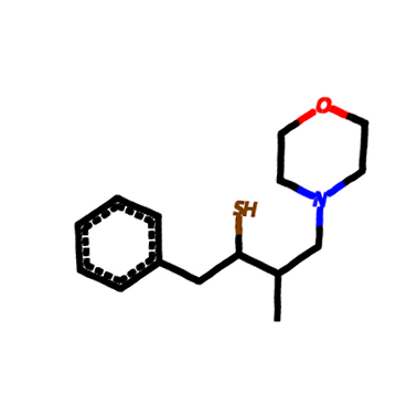 CC(CN1CCOCC1)C(S)Cc1ccccc1